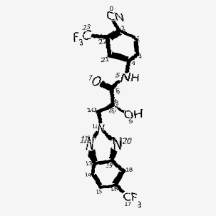 N#Cc1ccc(NC(=O)[C@@H](O)Cn2nc3ccc(C(F)(F)F)cc3n2)cc1C(F)(F)F